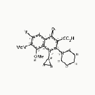 CNc1c(F)cc2c(=O)c(C(=O)O)c(N3CCCCC3)n(C3CC3)c2c1OC